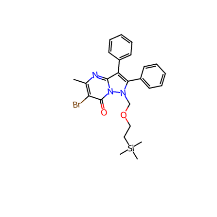 Cc1nc2c(-c3ccccc3)c(-c3ccccc3)n(COCC[Si](C)(C)C)n2c(=O)c1Br